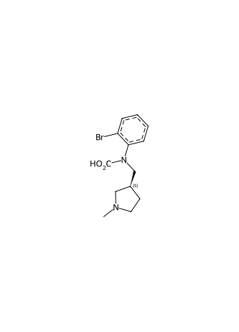 CN1CC[C@H](CN(C(=O)O)c2ccccc2Br)C1